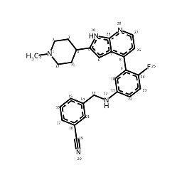 CN1CCC(c2cc3c(-c4cc(NCc5cccc(C#N)c5)ccc4F)ccnc3[nH]2)CC1